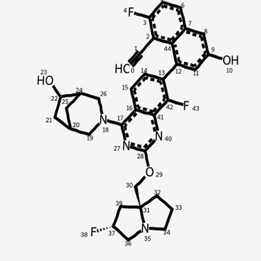 C#Cc1c(F)ccc2cc(O)cc(-c3ccc4c(N5CC6CC(O)C(C6)C5)nc(OC[C@@]56CCCN5C[C@H](F)C6)nc4c3F)c12